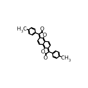 Cc1ccc(C2=c3ccc4c5c(ccc4c3OC2=O)=C(c2ccc(C)cc2)C(=O)O5)cc1